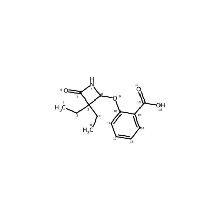 CCC1(CC)C(=O)NC1Oc1ccccc1C(=O)O